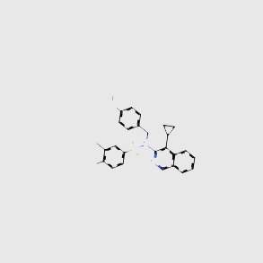 Cc1cc(S(=O)(=O)N(Cc2ccc(OC(F)(F)F)cc2)c2ncc3ccccc3c2C2CC2)ccc1C(=O)O